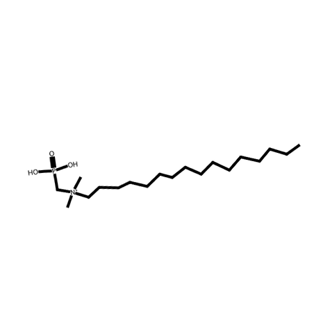 CCCCCCCCCCCCCCCC[N+](C)(C)CP(=O)(O)O